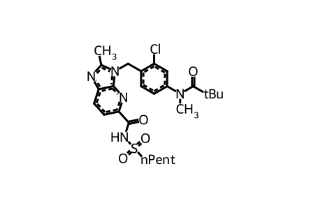 CCCCCS(=O)(=O)NC(=O)c1ccc2nc(C)n(Cc3ccc(N(C)C(=O)C(C)(C)C)cc3Cl)c2n1